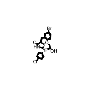 O=C(O)COc1ccc(Br)cc1C=C1SC(=Nc2ccc(Cl)cc2)NC1=O